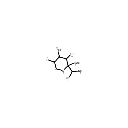 CSC1(C(N)C(C)C)OCC(O)C(O)C1O